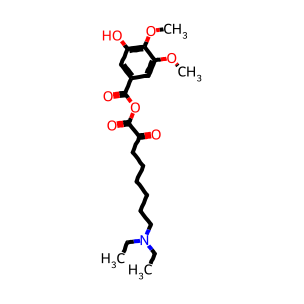 CCN(CC)CCCCCCC(=O)C(=O)OC(=O)c1cc(O)c(OC)c(OC)c1